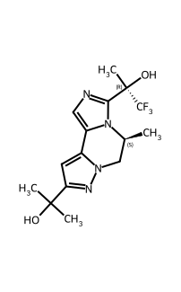 C[C@H]1Cn2nc(C(C)(C)O)cc2-c2cnc([C@@](C)(O)C(F)(F)F)n21